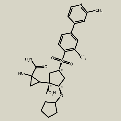 Cc1cc(-c2ccc(S(=O)(=O)[C@H]3C[C@@H](OC4CCCC4)[C@](C(=O)O)(C4CC4(C#N)C(N)=O)C3)c(C(F)(F)F)c2)ccn1